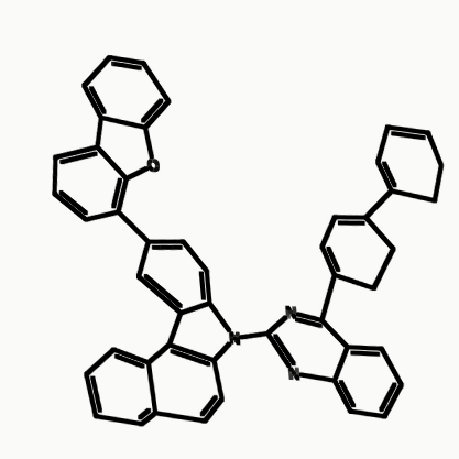 C1=CCCC(C2=CC=C(c3nc(-n4c5ccc(-c6cccc7c6oc6ccccc67)cc5c5c6ccccc6ccc54)nc4ccccc34)CC2)=C1